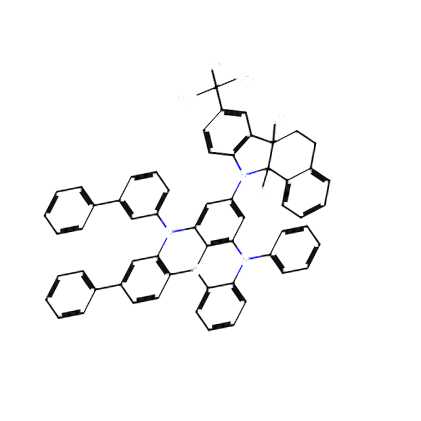 CC(C)(C)c1ccc2c(c1)C1(C)CCc3ccccc3C1(C)N2c1cc2c3c(c1)N(c1cccc(-c4ccccc4)c1)c1cc(-c4ccccc4)ccc1B3c1ccccc1N2c1ccccc1